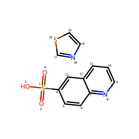 O=S(=O)(O)c1ccc2ncccc2c1.c1cscn1